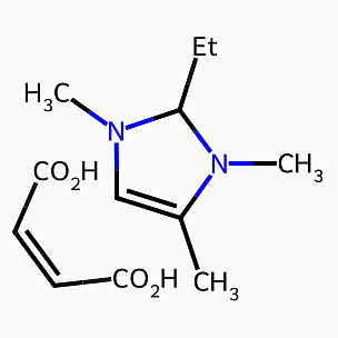 CCC1N(C)C=C(C)N1C.O=C(O)/C=C\C(=O)O